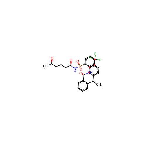 CC(=O)CCCC(=O)NS(=O)(=O)c1ccccc1NC(=O)c1ccccc1C(C)c1ccc(C(F)(F)F)cc1